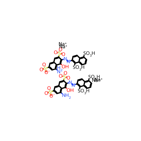 Nc1cc(S(=O)(=O)[O-])cc2cc(S(=O)(=O)[O-])c(N=Nc3ccc4c(S(=O)(=O)O)cccc4c3S(=O)(=O)O)c(O)c12.Nc1cc(S(=O)(=O)[O-])cc2cc(S(=O)(=O)[O-])c(N=Nc3ccc4c(S(=O)(=O)O)cccc4c3S(=O)(=O)O)c(O)c12.[Na+].[Na+].[Na+].[Na+]